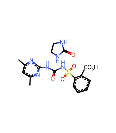 Cc1cc(C)nc(NC(=O)NS(=O)(=O)c2ccccc2C(=O)O)n1.O=C1NCCN1